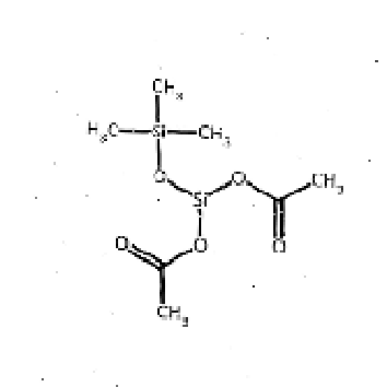 CC(=O)O[Si](OC(C)=O)O[Si](C)(C)C